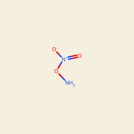 NO[N+](=O)[O-]